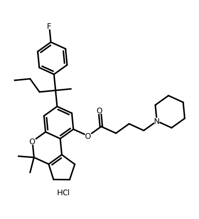 CCCC(C)(c1ccc(F)cc1)c1cc(OC(=O)CCCN2CCCCC2)c2c(c1)OC(C)(C)C1=C2CCC1.Cl